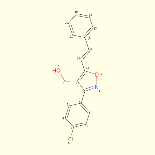 OCc1c(-c2ccc(Cl)cc2)noc1C=Cc1ccccc1